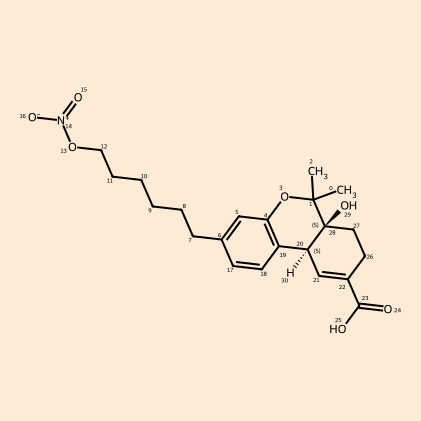 CC1(C)Oc2cc(CCCCCCO[N+](=O)[O-])ccc2[C@@H]2C=C(C(=O)O)CC[C@]21O